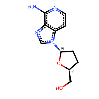 Nc1nccc2c1ncn2[C@H]1CC[C@@H](CO)O1